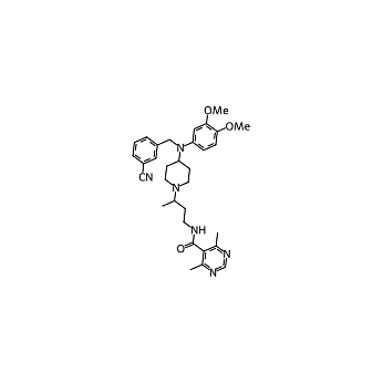 COc1ccc(N(Cc2cccc(C#N)c2)C2CCN(C(C)CCNC(=O)c3c(C)ncnc3C)CC2)cc1OC